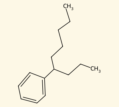 CCCCCC(CCC)c1ccccc1